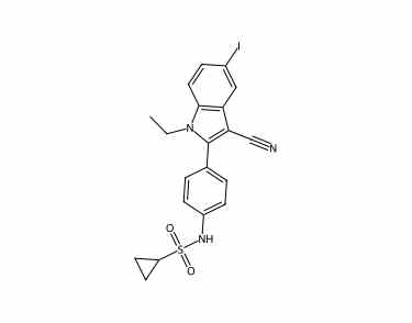 CCn1c(-c2ccc(NS(=O)(=O)C3CC3)cc2)c(C#N)c2cc(I)ccc21